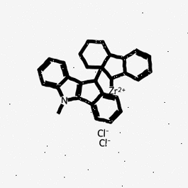 Cn1c2c(c3ccccc31)C(C13CCCCC1C1C=CC=CC1[CH]3[Zr+2])c1ccccc1-2.[Cl-].[Cl-]